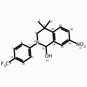 CC1(C)CN(c2ccc(C(F)(F)F)cc2)C(O)c2cc([N+](=O)[O-])ccc21